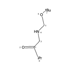 CC(C)C(=O)CNCOC(C)(C)C